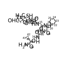 CCC(C=O)(CC=O)C(C)(S)C(=O)NCC(=O)NCC(=O)NC(Cc1ccccc1)C(=O)NCC(=O)NCOC(C(N)=O)C1CC1